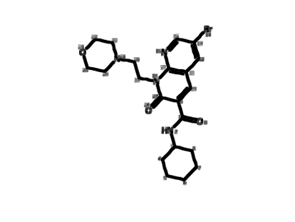 O=C(NC1CCCCC1)c1cc2cc(Br)cnc2n(CCN2CCOCC2)c1=O